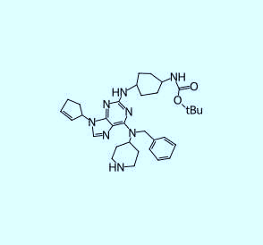 CC(C)(C)OC(=O)NC1CCC(Nc2nc(N(Cc3ccccc3)C3CCNCC3)c3ncn(C4C=CCC4)c3n2)CC1